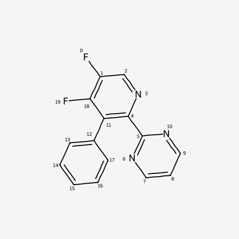 Fc1cnc(-c2ncccn2)c(-c2ccccc2)c1F